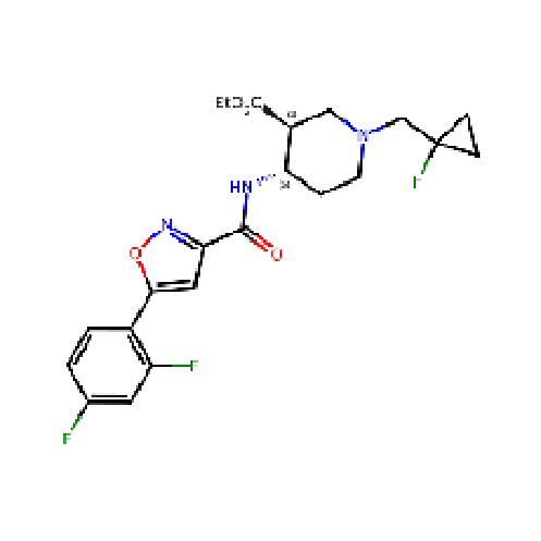 CCOC(=O)[C@H]1CN(CC2(F)CC2)CC[C@@H]1NC(=O)c1cc(-c2ccc(F)cc2F)on1